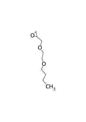 CCCCOCCOCC1CO1